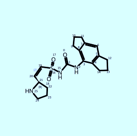 O=C(Nc1c2c(cc3c1CCC3)CCC2)NS(=O)(=O)/C=C\[C@H]1CCCN1